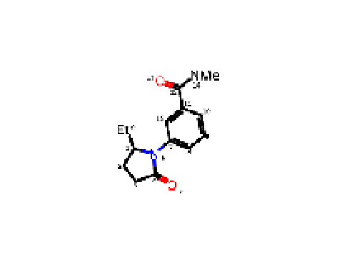 CCC1CCC(=O)N1c1cccc(C(=O)NC)c1